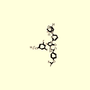 COc1cc(F)c([C@@H]2CN(c3cccc(N4C[C@H]5C[C@@H]4CO5)n3)C(=O)[C@H]2NC(=O)c2ccc(OC(F)F)cc2)c(F)c1